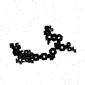 COc1cc(OC2C(C)(C)C(NC(=O)c3ccc(N4CCC(n5ncc6c5CCC(n5nc(N7CCCc8cc(-c9cnn(C)c9)c(C(F)F)cc87)c7c5CCN(C(C)=O)C7)C6)CC4)cc3)C2(C)C)ccc1C#N